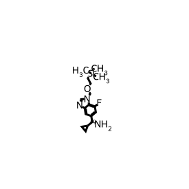 C[Si](C)(C)CCOCn1cnc2cc([C@H](N)C3CC3)cc(F)c21